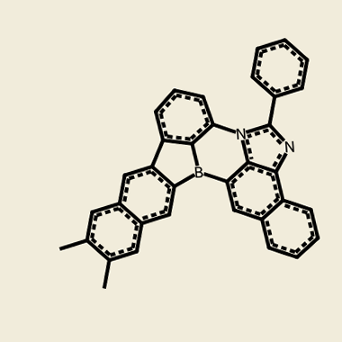 Cc1cc2cc3c(cc2cc1C)-c1cccc2c1B3c1cc3ccccc3c3nc(-c4ccccc4)n-2c13